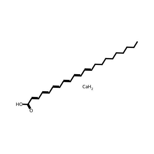 CCCCCCCCCC=CC=CC=CC=CC=CC=CC(=O)O.[CaH2]